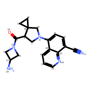 N#Cc1ccc(N2CC(C(=O)N3CC(N)C3)C3(CC3)C2)c2cccnc12